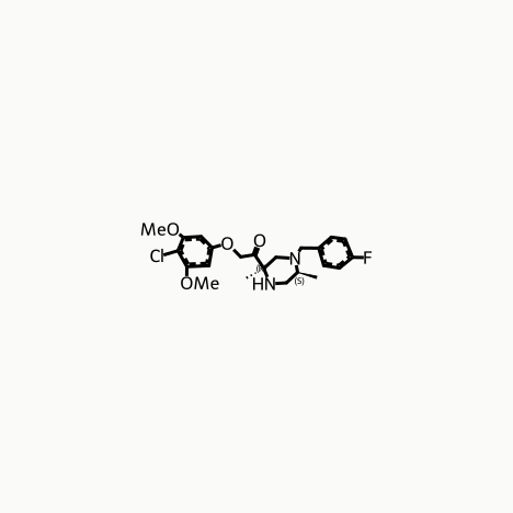 COc1cc(OCC(=O)[C@@]2(C)CN(Cc3ccc(F)cc3)[C@@H](C)CN2)cc(OC)c1Cl